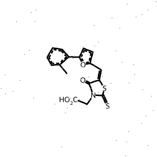 Cc1ccccc1-c1ccc(C=C2SC(=S)N(CC(=O)O)C2=O)o1